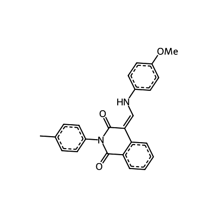 COc1ccc(NC=C2C(=O)N(c3ccc(C)cc3)C(=O)c3ccccc32)cc1